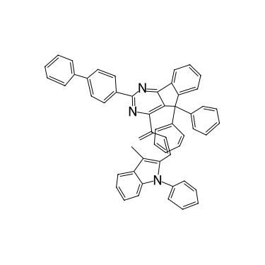 C=C(/C=C\c1c(C)c2ccccc2n1-c1ccccc1)c1nc(-c2ccc(-c3ccccc3)cc2)nc2c1C(c1ccccc1)(c1ccccc1)c1ccccc1-2